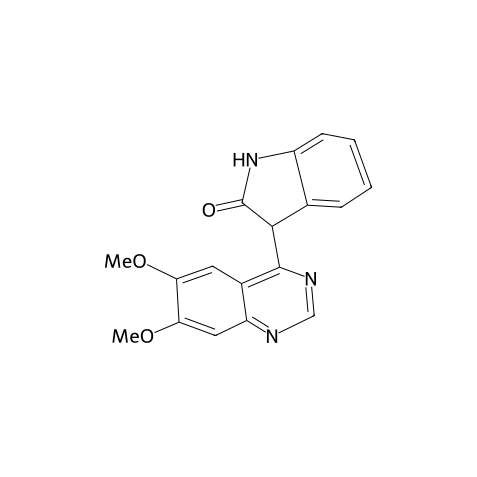 COc1cc2ncnc(C3C(=O)Nc4ccccc43)c2cc1OC